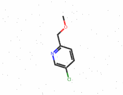 COCc1ccc(Cl)cn1